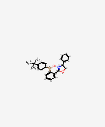 CC(C)(C)c1ccc([S+]([O-])c2ccccc2C2=NC(c3ccccc3)CO2)cc1